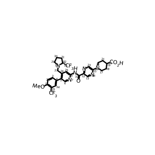 COc1ccc(-c2cnc(NC(=O)c3cnc(N4CCC(C(=O)O)CC4)cn3)cc2CN2CCC[C@H]2C(F)(F)F)cc1C(F)(F)F